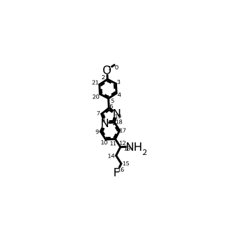 COc1ccc(-c2cn3ccc(C(N)CCF)cc3n2)cc1